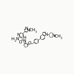 CN1CCC(n2ccc3cc(-c4ccc(CO[C@H]5CCC[C@@H]5NC(=O)c5cc(-c6cnn(C)c6)cnc5N)cc4)ccc32)CC1